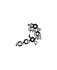 CCc1cc(Nc2ncc(Br)c(Nc3cccc4c3C(=O)N(C)C4)n2)c(OC)cc1N1CCC(N2CCN(C)CC2)CC1